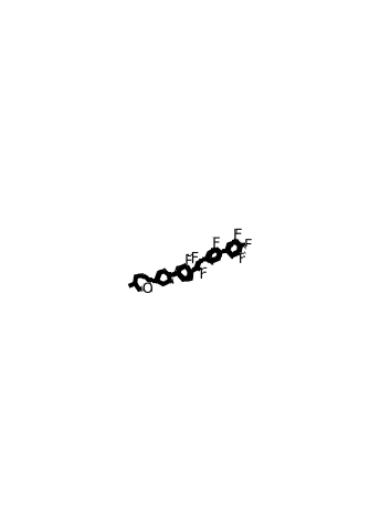 CC1CCC(C2CCC(c3ccc(/C(F)=C(\F)c4ccc(-c5cc(F)c(F)c(F)c5)c(F)c4)c(F)c3)CC2)OC1